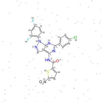 O=C(Nc1nc(-c2ccc(Cl)cc2)nc2c1cnn2-c1ccc(F)cc1F)c1ccc([N+](=O)[O-])s1